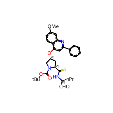 CCC[C@@H](C=O)NC(=S)[C@@H]1C[C@@H](Oc2cc(-c3ccccc3)nc3cc(OC)ccc23)CN1C(=O)OC(C)(C)C